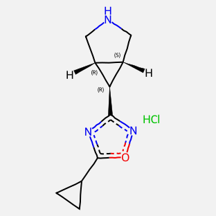 C1CC1c1nc([C@H]2[C@@H]3CNC[C@@H]32)no1.Cl